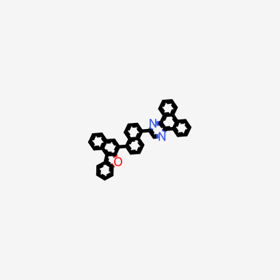 c1ccc2c(c1)cc(-c1cccc3c(-c4cnc5c6ccccc6c6ccccc6c5n4)cccc13)c1oc3ccccc3c12